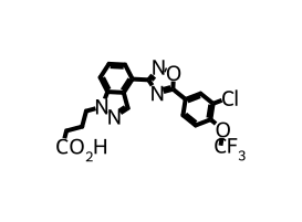 O=C(O)CCCn1ncc2c(-c3noc(-c4ccc(OC(F)(F)F)c(Cl)c4)n3)cccc21